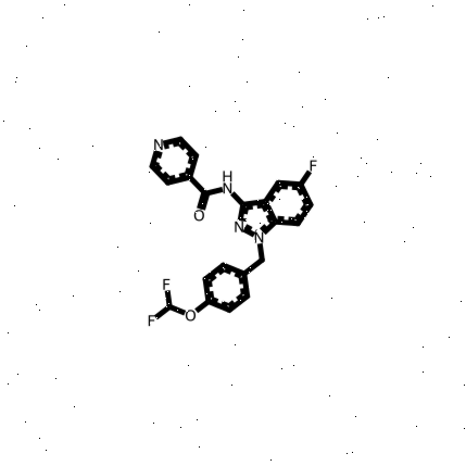 O=C(Nc1nn(Cc2ccc(OC(F)F)cc2)c2ccc(F)cc12)c1ccncc1